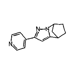 c1cc(-c2cc3n(n2)C2CCC3C2)ccn1